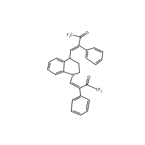 O=C(/C(=C\N1CCN(/C=C(/C(=O)C(F)(F)F)c2ccccc2)c2ccccc21)c1ccccc1)C(F)(F)F